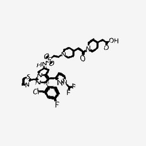 O=C(O)CC1CCN(C(=O)CC2CCN(CCS(=O)(=O)N[C@H]3CC4=C(c5ccn(C(F)F)n5)[C@H](c5ccc(F)cc5Cl)N=C(c5nccs5)N4C3)CC2)CC1